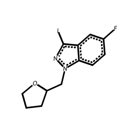 Fc1ccc2c(c1)c(I)nn2CC1CCCO1